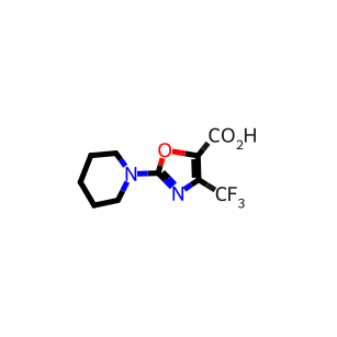 O=C(O)c1oc(N2CCCCC2)nc1C(F)(F)F